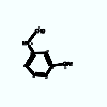 CC(=O)Oc1cccc(NC=O)c1